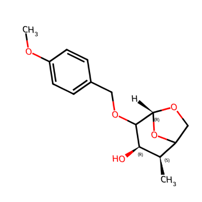 COc1ccc(COC2[C@@H]3OCC(O3)[C@@H](C)[C@H]2O)cc1